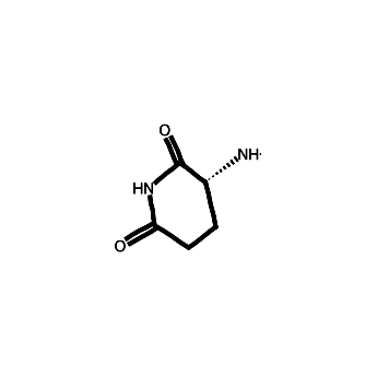 [NH][C@@H]1CCC(=O)NC1=O